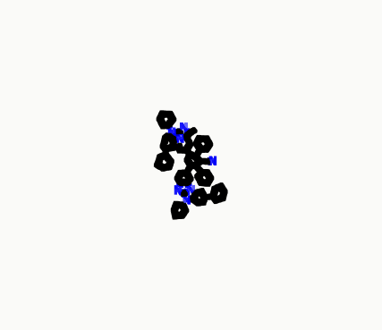 C=C/C(=C\c1c(C)nc2n(-c3ccccc3)c3ccc(-c4ccccc4)cc3n12)c1cc(-c2ccc3nc4n(-c5ccccc5)c5ccc(-c6ccccc6)cc5n4c3c2)c(-c2ccccc2)c(C#N)c1-c1ccccc1